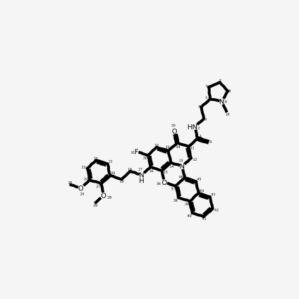 C=C(NCCC1CCCN1C)c1cn2c3c(c(NCCc4cccc(OC)c4OC)c(F)cc3c1=O)Oc1cc3ccccc3cc1-2